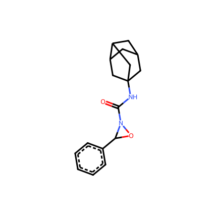 O=C(NC12CC3CC(C1)C(C3)C2)N1OC1c1ccccc1